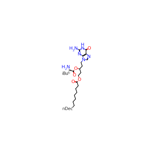 CCCCCCCCCCCCCCCCCC(=O)OCCC(CCn1cnc2c(=O)[nH]c(N)nc21)OC(=O)[C@@H](N)[C@@H](C)CC